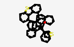 c1ccc(-c2c3ccccc3c(-c3cccc4sc5cccc(-c6c7ccccc7c(-c7ccsc7)c7ccccc67)c5c34)c3ccccc23)cc1